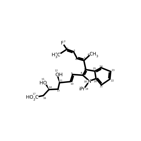 C/C(F)=C\C=C(/C)c1c(/C=C/[C@H](O)C[C@H](O)CC(=O)O)n(C(C)C)c2ccccc12